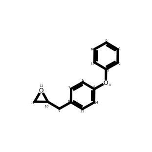 c1ccc(Oc2ccc(CC3CO3)cc2)cc1